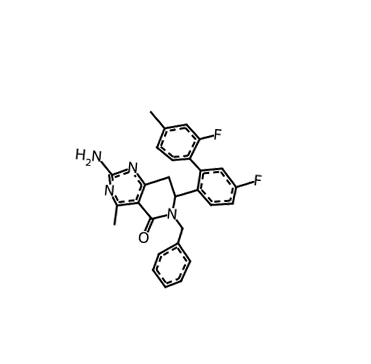 Cc1ccc(-c2cc(F)ccc2C2Cc3nc(N)nc(C)c3C(=O)N2Cc2ccccc2)c(F)c1